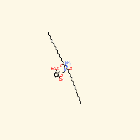 CCCCCCCCCCCCCCCCCC(=O)C1=NC(N)(C(=O)CCCCCCCCCCCCCCCCC)CN1CC.Cc1c(C(=O)O)cccc1C(=O)O